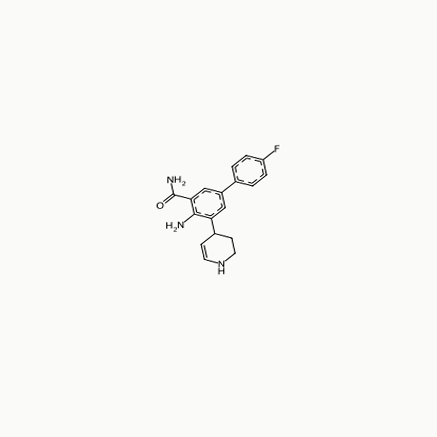 NC(=O)c1cc(-c2ccc(F)cc2)cc(C2C=CNCC2)c1N